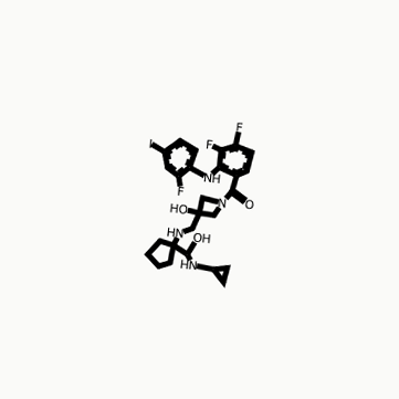 O=C(c1ccc(F)c(F)c1Nc1ccc(I)cc1F)N1CC(O)(CNC2(C(O)NC3CC3)CCCC2)C1